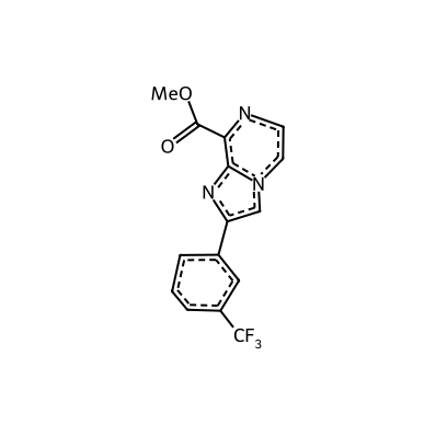 COC(=O)c1nccn2cc(-c3cccc(C(F)(F)F)c3)nc12